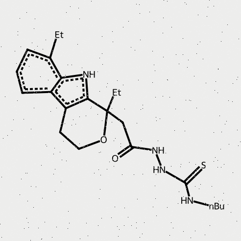 CCCCNC(=S)NNC(=O)CC1(CC)OCCc2c1[nH]c1c(CC)cccc21